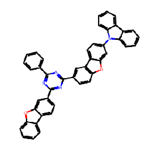 c1ccc(-c2nc(-c3ccc4c(c3)oc3ccccc34)nc(-c3ccc4oc5cc(-n6c7ccccc7c7ccccc76)ccc5c4c3)n2)cc1